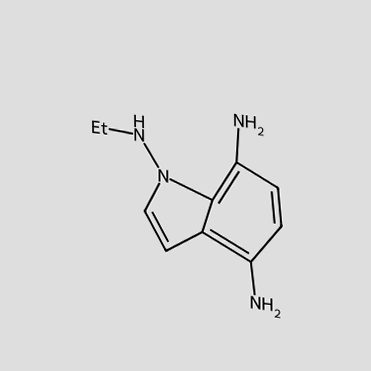 CCNn1ccc2c(N)ccc(N)c21